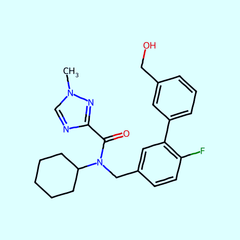 Cn1cnc(C(=O)N(Cc2ccc(F)c(-c3cccc(CO)c3)c2)C2CCCCC2)n1